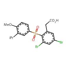 COc1ccc(S(=O)(=O)c2c(Br)cc(Br)cc2CC(=O)O)cc1C(C)C